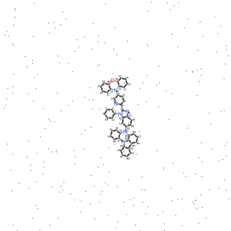 c1ccc(-n2c(-c3ccc(N4c5ccccc5Oc5ccccc54)cn3)nc3ccc(N4c5ccccc5-n5c6ccccc6c6cccc4c65)cc32)cc1